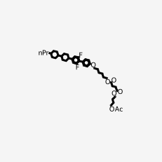 CCCC1CCC(C2CCC(c3cc(F)c(-c4ccc(OCCCCCCOC(=O)CCC(=O)OCCCCOC(C)=O)cc4)c(F)c3)CC2)CC1